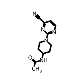 CC(=O)NC1CCN(c2nccc(C#N)n2)CC1